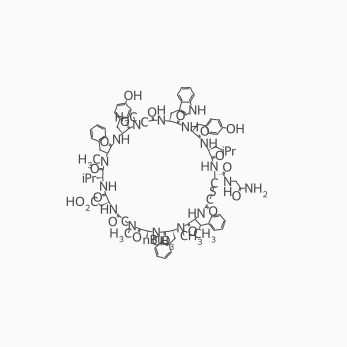 CCCC[C@H]1C(=O)N(C)CC(=O)N[C@@H](CC(=O)O)C(=O)N[C@@H](C(C)C)C(=O)N(C)C(Cc2ccccc2)C(=O)N[C@@H](Cc2ccc(O)cc2)C(=O)N(C)CC(=O)N[C@@H](Cc2c[nH]c3ccccc23)C(=O)N[C@@H](Cc2ccc(O)cc2)C(=O)N[C@@H](CC(C)C)C(=O)N[C@H](C(=O)NCC(N)=O)CSCC(=O)NC(C(C)c2ccccc2)C(=O)N(C)[C@@H](Cc2ccccc2)C(=O)N1C